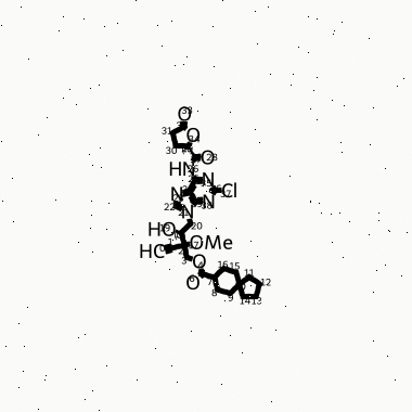 C#CC(COC(=O)C1CCC2(CCCC2)CC1)(OC)[C@@H](O)Cn1cnc2c(NC(=O)[C@H]3CCC(=O)O3)nc(Cl)nc21